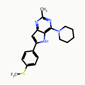 Cc1nc(N2CCCCC2)c2[nH]c(-c3ccc(SC(F)(F)F)cc3)cc2n1